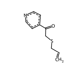 C=CCSCC(=O)c1ccncc1